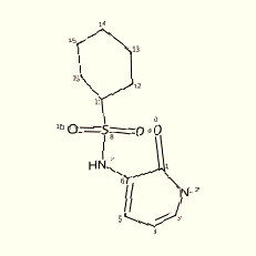 O=C1[N]C=CC=C1NS(=O)(=O)C1CCCCC1